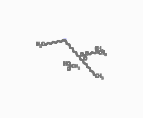 CC(=O)O.CCCCCCCC/C=C\CCCCCCCC(CCCCCCCCCC)OC(=O)OCCCN(C)C